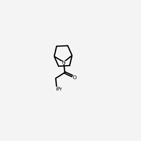 CC(C)CC(=O)N1C2CCC1CC2